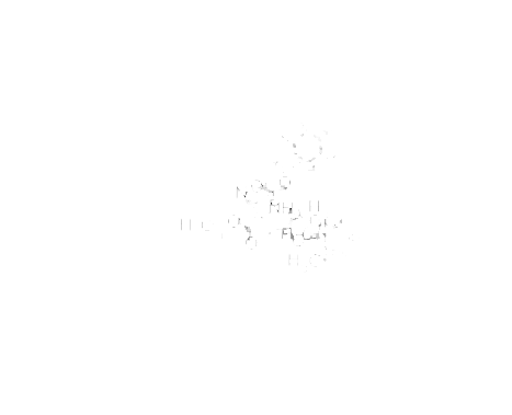 CCOC(=O)C(C#N)(CC(=O)OC1CC2CCC1(C)C2(C)C)NC(=O)OCc1ccccc1